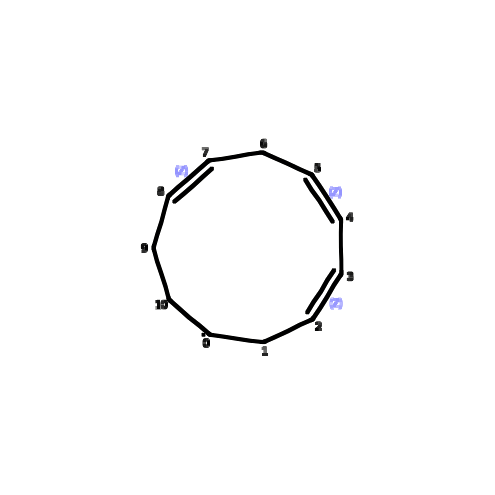 [CH]1C/C=C\C=C/C/C=C\CC1